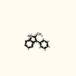 Cc1[nH]c2c[c]ccc2c1-c1ccccc1